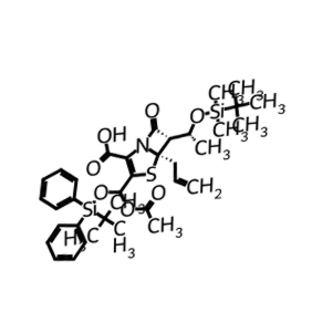 C=CC[C@]12SC(C(OC(C)=O)O[Si](c3ccccc3)(c3ccccc3)C(C)(C)C)=C(C(=O)O)N1C(=O)[C@@H]2[C@@H](C)O[Si](C)(C)C(C)(C)C